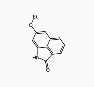 CCOc1cc2c3c(cccc3c1)C(=O)N2